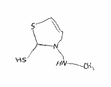 CNN1C=CSC1S